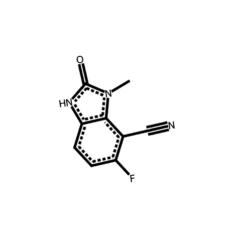 Cn1c(=O)[nH]c2ccc(F)c(C#N)c21